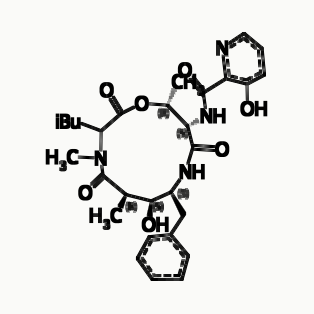 CCC(C)C1C(=O)O[C@H](C)[C@H](NC(=O)c2ncccc2O)C(=O)N[C@@H](Cc2ccccc2)[C@@H](O)[C@@H](C)C(=O)N1C